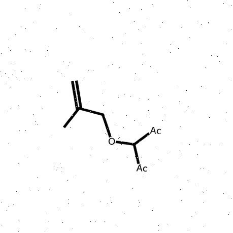 C=C(C)COC(C(C)=O)C(C)=O